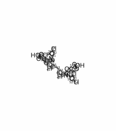 O=S(=O)(O)c1cc2oc3c(C(CCCCCC(c4nn(-c5ccc(Cl)cc5Cl)c5c4oc4cc(S(=O)(=O)O)sc45)C(F)(F)F)C(F)(F)F)nn(-c4ccc(Cl)cc4Cl)c3c2s1